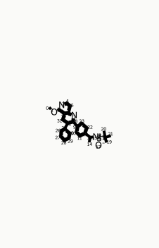 COc1nccc2nc(-c3ccc(C(C)N[S+]([O-])C(C)(C)C)cc3)c(-c3ccccc3)cc12